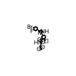 CS(=O)(=O)CCNS(=O)(=O)c1cc(-c2nc(-c3ccc(Br)c(F)c3)c[nH]2)ccc1Cl